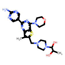 Cc1c(CN2CCN(C(O)C(C)O)CC2)sc2c(N3CCOCC3)nc(-c3cnc(N)nc3)nc12